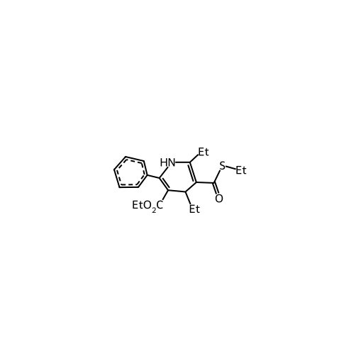 CCOC(=O)C1=C(c2ccccc2)NC(CC)=C(C(=O)SCC)C1CC